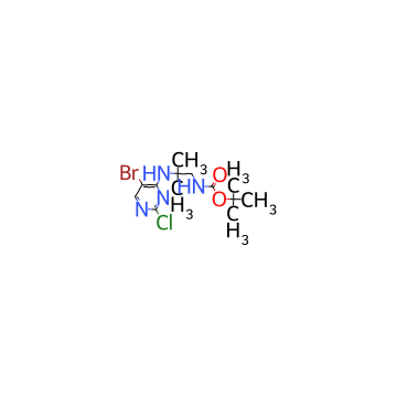 CC(C)(CNC(=O)OC(C)(C)C)Nc1nc(Cl)ncc1Br